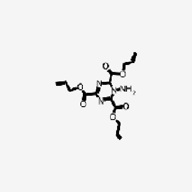 C=CCOC(=O)C1=NC(C(=O)OCC=C)N(N)C(C(=O)OCC=C)=N1